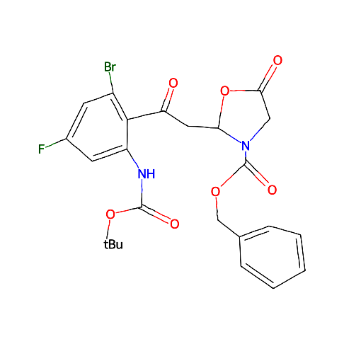 CC(C)(C)OC(=O)Nc1cc(F)cc(Br)c1C(=O)CC1OC(=O)CN1C(=O)OCc1ccccc1